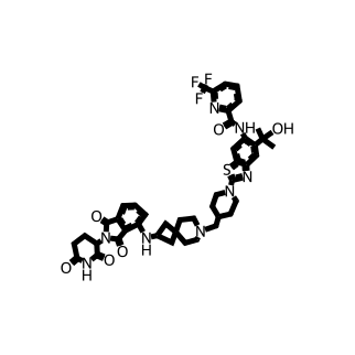 CC(C)(O)c1cc2nc(N3CCC(CN4CCC5(CC4)CC(Nc4cccc6c4C(=O)N(C4CCC(=O)NC4=O)C6=O)C5)CC3)sc2cc1NC(=O)c1cccc(C(F)(F)F)n1